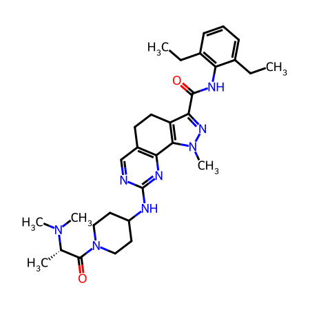 CCc1cccc(CC)c1NC(=O)c1nn(C)c2c1CCc1cnc(NC3CCN(C(=O)[C@H](C)N(C)C)CC3)nc1-2